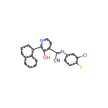 N#C/C(=N\c1ccc(F)c(Cl)c1)c1ccnc(-c2cccc3ccccc23)c1O